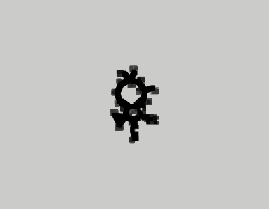 C=C=C(NCC)C1(C2=C/CCC(C)(C)CC(C)/C=C\2)CC1